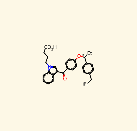 CC[C@H](Oc1ccc(C(=O)c2cn(CCCC(=O)O)c3ccccc23)cc1)c1ccc(CC(C)C)cc1